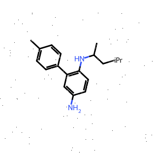 Cc1ccc(-c2cc(N)ccc2NC(C)CC(C)C)cc1